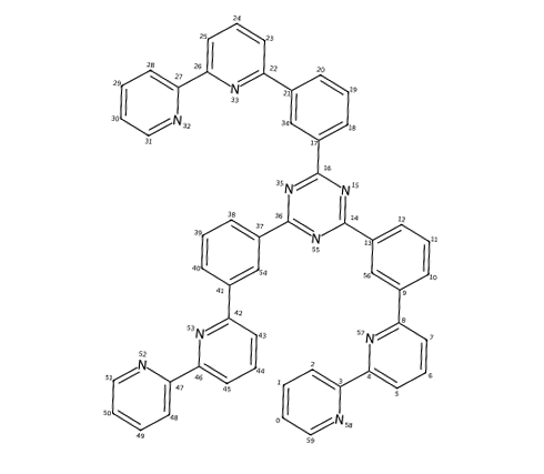 c1ccc(-c2cccc(-c3cccc(-c4nc(-c5cccc(-c6cccc(-c7ccccn7)n6)c5)nc(-c5cccc(-c6cccc(-c7ccccn7)n6)c5)n4)c3)n2)nc1